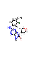 Cc1c(Nc2ncc3c(n2)n(C2CCOCC2)c(=O)n3C)ccc(C#N)c1F